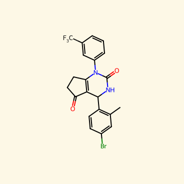 Cc1cc(Br)ccc1C1NC(=O)N(c2cccc(C(F)(F)F)c2)C2=C1C(=O)CC2